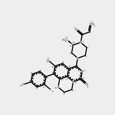 C=CC(=O)N1CCN(c2nc(=O)n3c4c(c(-c5ccc(F)cc5F)c(Cl)cc24)SCC3)C[C@H]1C